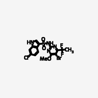 COc1nc(NS(=O)(=O)c2c[nH]c3cc(Cl)ccc23)nc(C(C)(F)F)c1Br